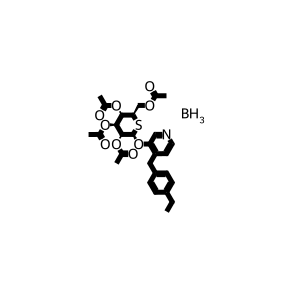 B.CCc1ccc(Cc2ccncc2O[C@@H]2S[C@H](COC(C)=O)[C@@H](OC(C)=O)[C@H](OC(C)=O)[C@H]2OC(C)=O)cc1